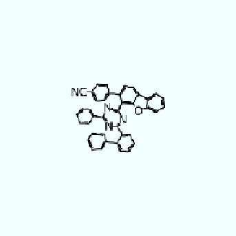 N#Cc1ccc(-c2ccc3c(oc4ccccc43)c2-c2nc(-c3ccccc3)nc(-c3ccccc3-c3ccccc3)n2)cc1